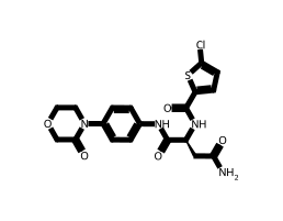 NC(=O)C[C@H](NC(=O)c1ccc(Cl)s1)C(=O)Nc1ccc(N2CCOCC2=O)cc1